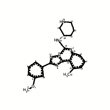 COc1cccc(-c2nc3c4c(C)cccc4nc(N[C@H]4CCCNC4)n3n2)c1